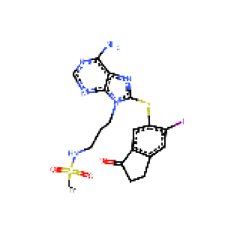 CC(C)S(=O)(=O)NCCCn1c(Sc2cc3c(cc2I)CCC3=O)nc2c(N)ncnc21